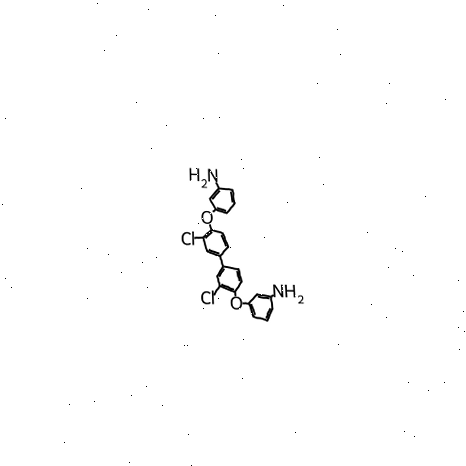 Nc1cccc(Oc2ccc(-c3ccc(Oc4cccc(N)c4)c(Cl)c3)cc2Cl)c1